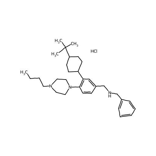 CCCCN1CCN(c2ccc(CNCc3ccccc3)cc2C2CCC(C(C)(C)C)CC2)CC1.Cl